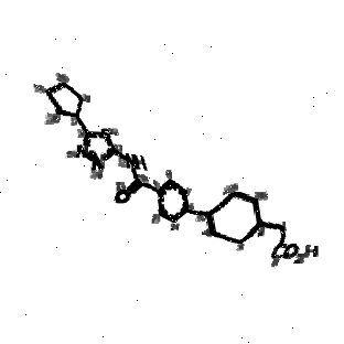 O=C(O)CC1CCC(c2ccc(C(=O)Nc3nnc(C4CCCC4)s3)cc2)CC1